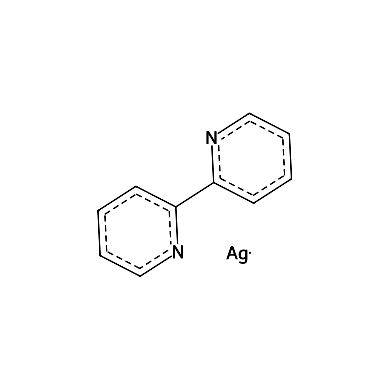 [Ag].c1ccc(-c2ccccn2)nc1